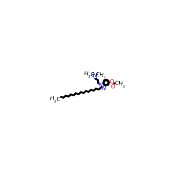 CCCCCCCCCCCCCCCCCc1nc2cc(OC(C)=O)ccc2n1CCCN(C)C